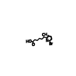 CC(CCCCC(=O)O)c1cccc(Br)n1